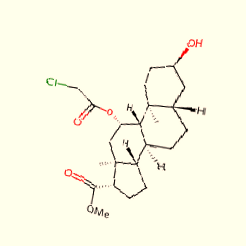 COC(=O)[C@H]1CC[C@H]2[C@@H]3CC[C@H]4C[C@H](O)CC[C@]4(C)[C@H]3[C@@H](OC(=O)CCl)C[C@]12C